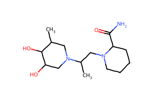 CC1CN(C(C)CN2CC[CH]CC2C(N)=O)CC(O)C1O